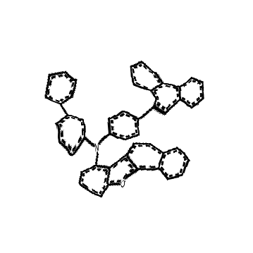 c1ccc(-c2cccc(N(c3ccc(-c4cc5ccccc5c5ccccc45)cc3)c3cccc4oc5c6ccccc6ccc5c34)c2)cc1